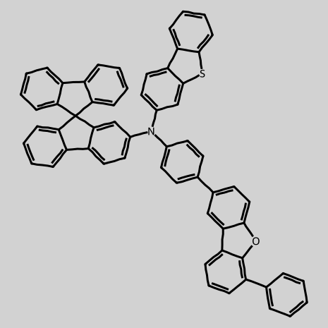 c1ccc(-c2cccc3c2oc2ccc(-c4ccc(N(c5ccc6c(c5)C5(c7ccccc7-c7ccccc75)c5ccccc5-6)c5ccc6c(c5)sc5ccccc56)cc4)cc23)cc1